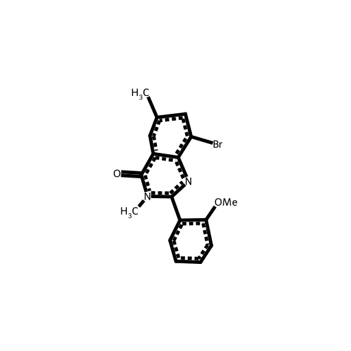 COc1ccccc1-c1nc2c(Br)cc(C)cc2c(=O)n1C